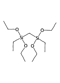 CCO[Si](CC)(C[Si](CC)(OCC)OCC)OCC